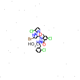 Cc1cc(Cl)cc(C(=O)NC(Cc2ccccc2Cl)C(=O)O)c1NC(=O)c1cc(Br)nn1-c1ncccc1Cl